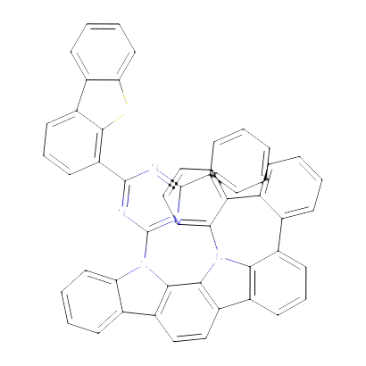 c1ccc(-c2nc(-c3cccc4c3sc3ccccc34)nc(-n3c4ccccc4c4ccc5c6cccc7c6n(c5c43)-c3ccccc3-c3ccccc3-7)n2)cc1